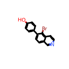 Oc1ccc(-c2ccc3cnccc3c2Br)cc1